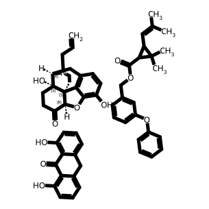 C=CCN1CC[C@]23c4c5ccc(O)c4O[C@H]2C(=O)CC[C@@]3(O)[C@H]1C5.CC(C)=CC1C(C(=O)OCc2cccc(Oc3ccccc3)c2)C1(C)C.O=C1c2c(O)cccc2Cc2cccc(O)c21